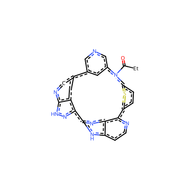 CCC(=O)n1c2cncc(c2)c2cnc3[nH]nc(c4nc5c(ccnc5c5ccc1s5)[nH]4)c3c2